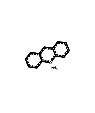 N.c1ccc2[o+]c3ccccc3cc2c1